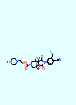 C[C@]12CN(C(=O)OCCN3CCNCC3)C[C@](C)(O1)[C@H]1C(=O)N(c3ccc(C#N)c(CF)c3)C(=O)[C@H]12